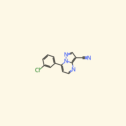 N#Cc1cnn2c(-c3cccc(Cl)c3)ccnc12